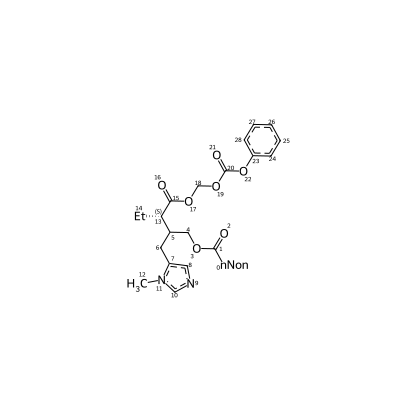 CCCCCCCCCC(=O)OCC(Cc1cncn1C)[C@H](CC)C(=O)OCOC(=O)Oc1ccccc1